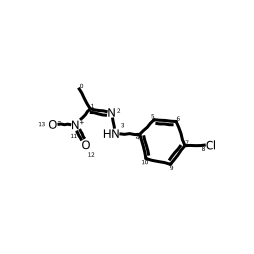 C/C(=N/Nc1ccc(Cl)cc1)[N+](=O)[O-]